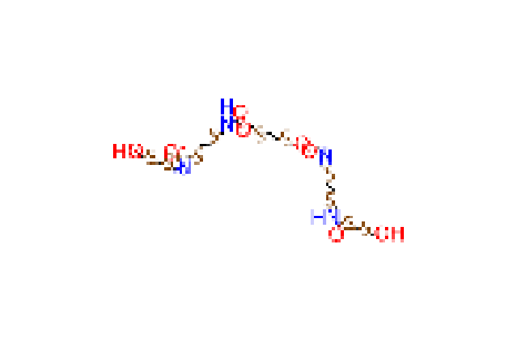 O=C(NCSCCSC/N=C\[S+]([O-])CSCO)OCSCCSCOO/C=N\CSCCSCNC(=O)SCSCO